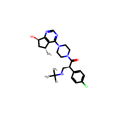 CCC(C)(C)NC[C@@H](C(=O)N1CCN(c2ncnc3c2[C@H](C)C[C@H]3O)CC1)c1ccc(Cl)cc1